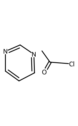 CC(=O)Cl.c1cncnc1